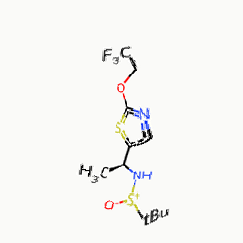 C[C@H](N[S+]([O-])C(C)(C)C)c1cnc(OCC(F)(F)F)s1